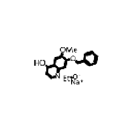 CC[O-].COc1cc2c(O)ccnc2cc1OCc1ccccc1.[Na+]